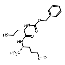 O=CCCC[C@H](NC(=O)[C@H](CCS)NC(=O)OCc1ccccc1)C(=O)O